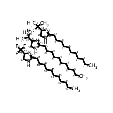 CCCCCCCCCCCC1=NC(C(C)(C)C)CN1.CCCCCCCCCCCC1=NC(C(C)C)CN1.CCCCCCCCCCCC1=NC(C(F)(F)F)CN1